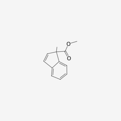 COC(=O)C1(C)C=Cc2ccccc21